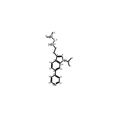 CC(C)n1cc(CCNSN(C)C)c2ccc(-c3ccncc3)cc21